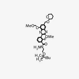 COCOc1cc(COC2CCCCO2)cc2nc(OC)c(-c3cccc(C(=O)N(N)CCO[Si](C)(C)C(C)(C)C)c3F)nc12